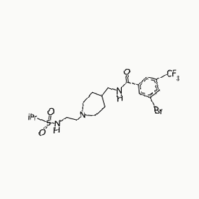 CC(C)S(=O)(=O)NCCN1CCC(CNC(=O)c2cc(Br)cc(C(F)(F)F)c2)CC1